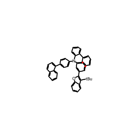 CC(C)(C)c1c(-c2cccc(N(c3ccc(-c4cccc5ccccc45)cc3)c3ccccc3-c3ccccc3)c2)oc2ccccc12